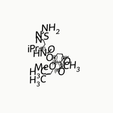 CO[C@@H]1[C@H](OC(=O)N[C@H](Cc2nnc(N)s2)C(C)C)CC[C@]2(CO2)[C@H]1[C@@]1(C)O[C@@H]1CC=C(C)C